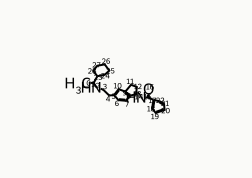 CC(NCCc1ccc2c(c1)CCC2NC(=O)c1ccccc1)C1CCCCC1